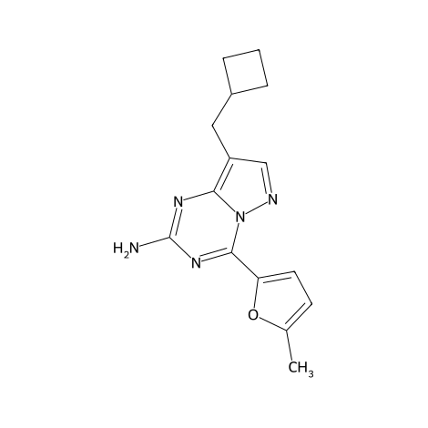 Cc1ccc(-c2nc(N)nc3c(CC4CCC4)cnn23)o1